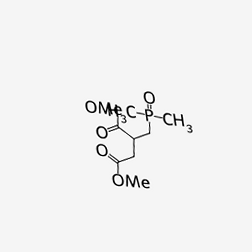 COC(=O)CC(CP(C)(C)=O)C(=O)OC